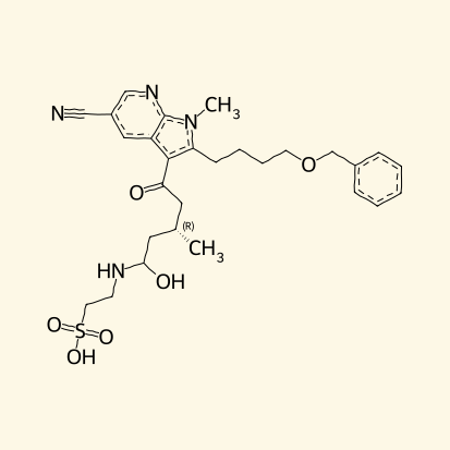 C[C@@H](CC(=O)c1c(CCCCOCc2ccccc2)n(C)c2ncc(C#N)cc12)CC(O)NCCS(=O)(=O)O